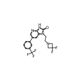 O=c1[nH]c2ncc(-c3cccc(C(F)(F)F)c3)cc2n1CCN1CC(F)(F)C1